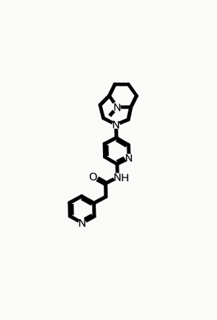 CN1C2CCCC1CN(c1ccc(NC(=O)Cc3cccnc3)nc1)CC2